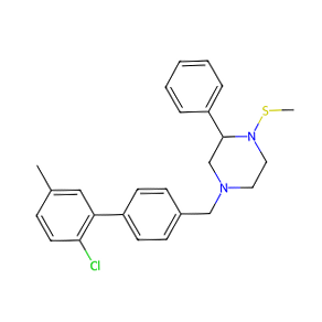 CSN1CCN(Cc2ccc(-c3cc(C)ccc3Cl)cc2)CC1c1ccccc1